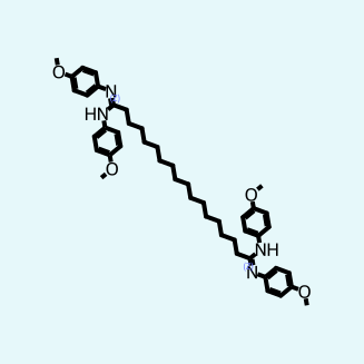 COc1ccc(/N=C(/CCCCCCCCCCCCCCCC/C(=N/c2ccc(OC)cc2)Nc2ccc(OC)cc2)Nc2ccc(OC)cc2)cc1